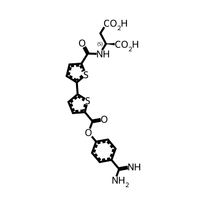 N=C(N)c1ccc(OC(=O)c2ccc(-c3ccc(C(=O)N[C@@H](CC(=O)O)C(=O)O)s3)s2)cc1